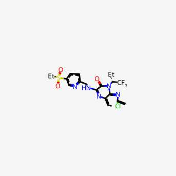 C=C(Cl)/N=C1\C(=C/C)N=C(NCc2ccc(S(=O)(=O)CC)cn2)C(=O)N1[C@H](CC)C(F)(F)F